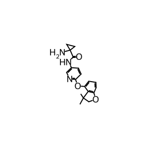 CC1(C)COc2cccc(Oc3ccc(NC(=O)C4(N)CC4)cn3)c21